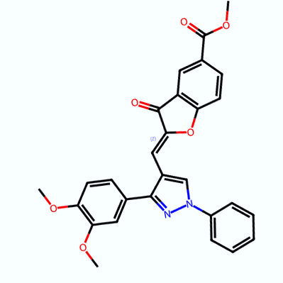 COC(=O)c1ccc2c(c1)C(=O)/C(=C/c1cn(-c3ccccc3)nc1-c1ccc(OC)c(OC)c1)O2